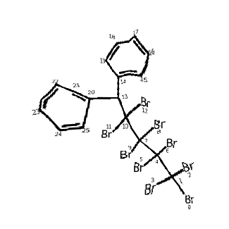 BrC(Br)(Br)C(Br)(Br)C(Br)(Br)C(Br)(Br)C(c1ccccc1)c1ccccc1